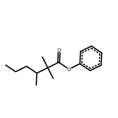 CCCC(C)C(C)(C)C(=O)Oc1ccccc1